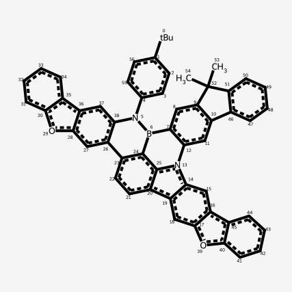 CC(C)(C)c1ccc(N2B3c4cc5c(cc4-n4c6cc7c(cc6c6ccc(c3c64)-c3cc4oc6ccccc6c4cc32)oc2ccccc27)-c2ccccc2C5(C)C)cc1